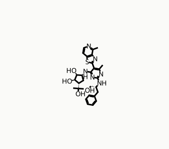 Cc1nc(N[C@@H](CO)Cc2ccccc2)nc(N[C@@H]2C[C@H](C(C)(C)O)[C@@H](O)[C@H]2O)c1-c1nc2c(C)nccc2s1